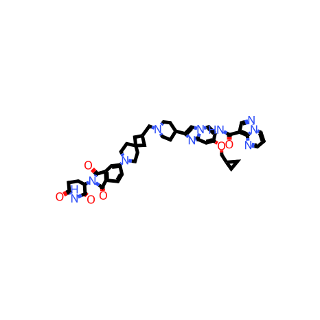 O=C1CCC(N2C(=O)c3ccc(N4CCC5(CC4)CC(CN4CCC(c6cn7cc(NC(=O)c8cnn9cccnc89)c(OCC8CC8)cc7n6)CC4)C5)cc3C2=O)C(=O)N1